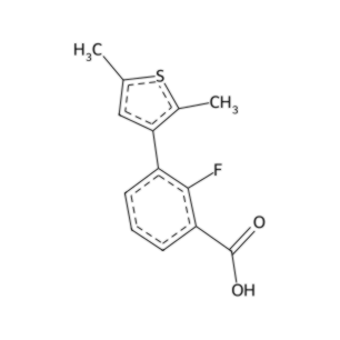 Cc1cc(-c2cccc(C(=O)O)c2F)c(C)s1